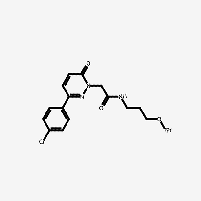 CC(C)OCCCNC(=O)Cn1nc(-c2ccc(Cl)cc2)ccc1=O